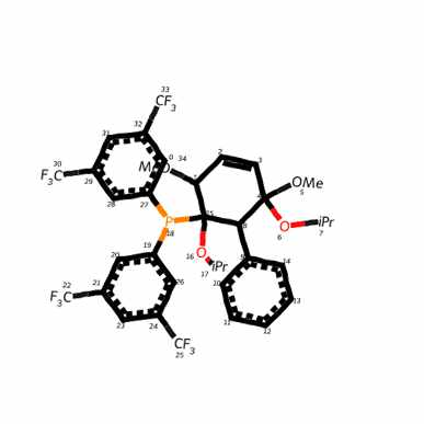 COC1C=CC(OC)(OC(C)C)C(c2ccccc2)C1(OC(C)C)P(c1cc(C(F)(F)F)cc(C(F)(F)F)c1)c1cc(C(F)(F)F)cc(C(F)(F)F)c1